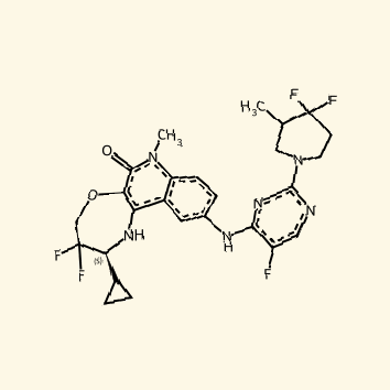 CC1CN(c2ncc(F)c(Nc3ccc4c(c3)c3c(c(=O)n4C)OCC(F)(F)[C@H](C4CC4)N3)n2)CCC1(F)F